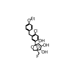 CCOc1ccc(Cc2cc([C@]34OC[C@](CF)(O3)[C@@H](O)[C@H](O)[C@H]4O)ccc2Cl)cc1